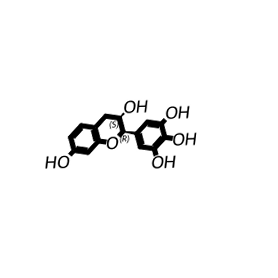 Oc1ccc2c(c1)O[C@H](c1cc(O)c(O)c(O)c1)[C@@H](O)C2